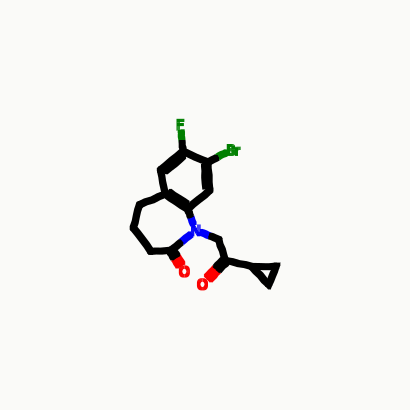 O=C(CN1C(=O)CCCc2cc(F)c(Br)cc21)C1CC1